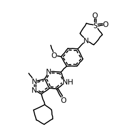 COc1cc(N2CCS(=O)(=O)CC2)ccc1-c1nc2c(c(C3CCCCC3)nn2C)c(=O)[nH]1